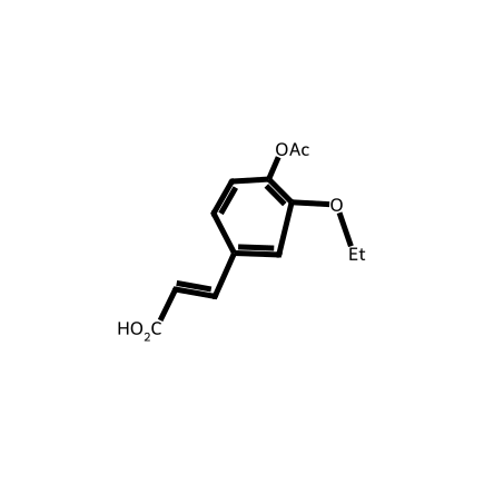 CCOc1cc(/C=C/C(=O)O)ccc1OC(C)=O